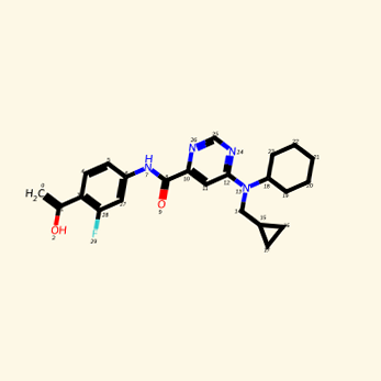 C=C(O)c1ccc(NC(=O)c2cc(N(CC3CC3)C3CCCCC3)ncn2)cc1F